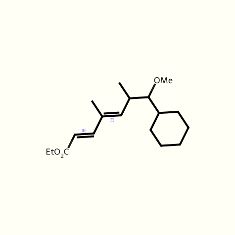 CCOC(=O)/C=C/C(C)=C/C(C)C(OC)C1CCCCC1